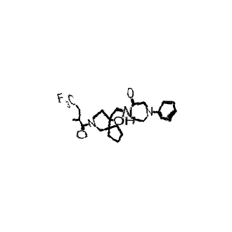 CC(CC(F)(F)F)C(=O)N1CCC(O)(CN2CCN(c3ccccc3)CC2=O)C2(CCCC2)C1